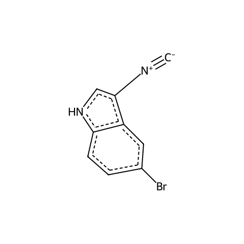 [C-]#[N+]c1c[nH]c2ccc(Br)cc12